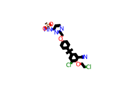 CC(C)(c1ccc(OCc2nccc(NS(C)(=O)=O)n2)cc1)c1cc(Cl)c(OCCCl)c(C#N)c1